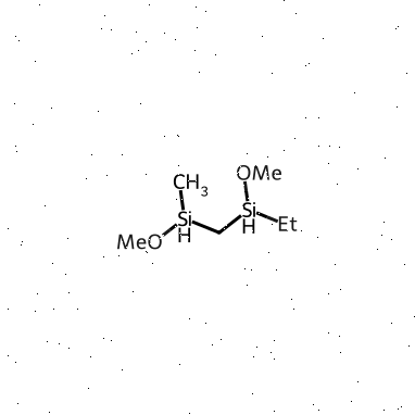 CC[SiH](C[SiH](C)OC)OC